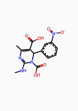 CNC1=NC(C)=C(C(=O)O)C(c2cccc([N+](=O)[O-])c2)N1C(=O)O